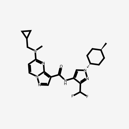 CN(CC1CC1)c1ccn2ncc(C(=O)Nc3cn([C@H]4CC[C@H](C)CC4)nc3C(F)F)c2n1